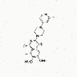 COc1cc2[nH]c(N3CCN(c4cc(C)ccn4)CC3)nc(=O)c2c(C)c1OC